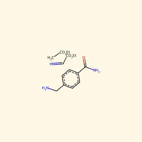 CCOC(=O)C=N.CCOC(C)=O.NCc1ccc(C(N)=O)cc1